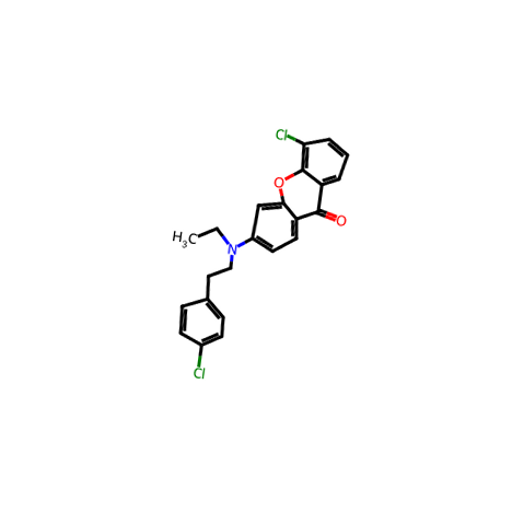 CCN(CCc1ccc(Cl)cc1)c1ccc2c(=O)c3cccc(Cl)c3oc2c1